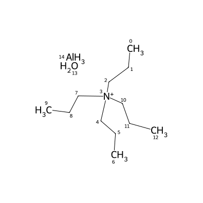 CCC[N+](CCC)(CCC)CCC.O.[AlH3]